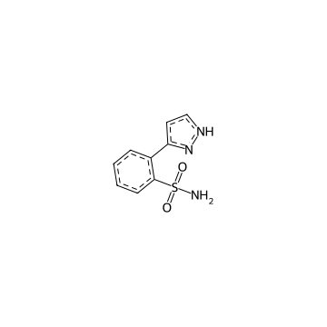 NS(=O)(=O)c1ccccc1-c1cc[nH]n1